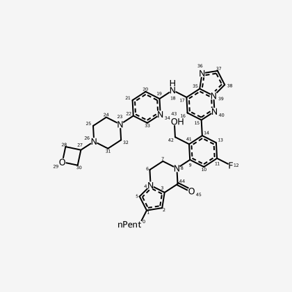 CCCCCc1cc2n(c1)CCN(c1cc(F)cc(-c3cc(Nc4ccc(N5CCN(C6COC6)CC5)cn4)c4nccn4n3)c1CO)C2=O